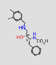 Cc1ccc(CNC[C@@H](O)[C@H](Cc2ccccc2)NC(=O)O)cc1C